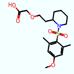 COc1cc(C)c(S(=O)(=O)N2CCCCC2CCOCC(=O)O)c(C)c1